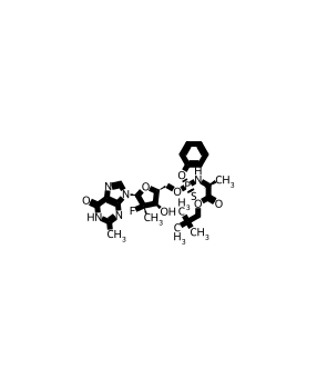 Cc1nc2c(ncn2[C@@H]2O[C@H](COP(=S)(N[C@@H](C)C(=O)OCC(C)(C)C)Oc3ccccc3)[C@@H](O)[C@@]2(C)F)c(=O)[nH]1